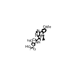 COc1ccc(OCC2CC2)c(-c2ncnc3c(C(=O)NC4CN(C(=O)[C@H](C)O)C[C@H]4O)c(C)[nH]c23)c1